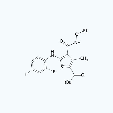 CCONC(=O)c1c(Nc2ccc(I)cc2F)sc(C(=O)C(C)(C)C)c1C